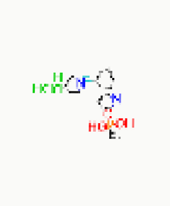 CCP(=O)(O)O.Cl.Cl.Fc1ccccc1.c1ccncc1.c1ccncc1